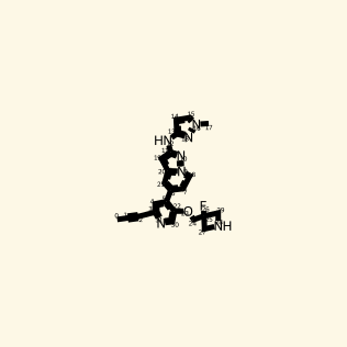 CC#Cc1cc(-c2ccn3nc(Nc4ccn(C)n4)cc3c2)c(OCC2(F)CNC2)cn1